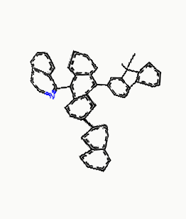 CC1(C)c2ccccc2-c2ccc(-c3c4ccccc4c(-c4nccc5ccccc45)c4ccc(-c5ccc6ccccc6c5)cc34)cc21